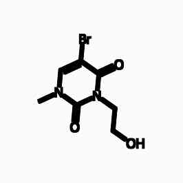 Cn1cc(Br)c(=O)n(CCO)c1=O